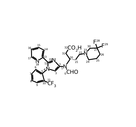 O=CN(c1cn(-c2ccccc2C(F)(F)F)c(-c2ccccn2)n1)[C@@H](CCN1CCCC(F)(F)C1)CC(=O)O